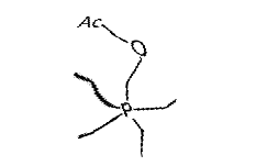 CC(=O)OP(C)(C)(C)C